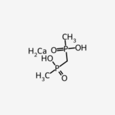 CP(=O)(O)CP(C)(=O)O.[CaH2]